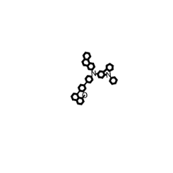 c1ccc(-n2c3ccccc3c3cc(N(c4ccc(-c5ccc6c(c5)Oc5cccc7cccc-6c57)cc4)c4ccc5c(ccc6ccccc65)c4)ccc32)cc1